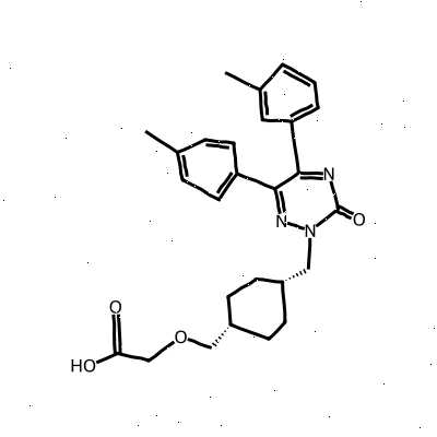 Cc1ccc(-c2nn(C[C@H]3CC[C@@H](COCC(=O)O)CC3)c(=O)nc2-c2cccc(C)c2)cc1